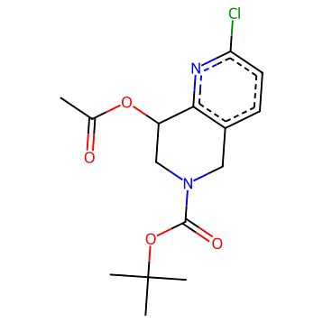 CC(=O)OC1CN(C(=O)OC(C)(C)C)Cc2ccc(Cl)nc21